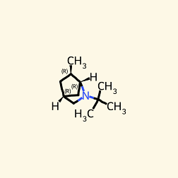 C[C@@H]1C[C@@H]2C[C@H]1N(C(C)(C)C)C2